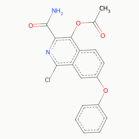 CC(=O)Oc1c(C(N)=O)nc(Cl)c2cc(Oc3ccccc3)ccc12